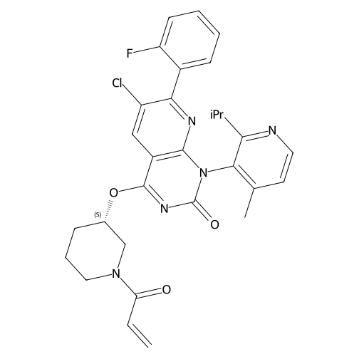 C=CC(=O)N1CCC[C@H](Oc2nc(=O)n(-c3c(C)ccnc3C(C)C)c3nc(-c4ccccc4F)c(Cl)cc23)C1